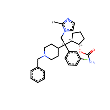 CCc1nccn1C[C@@](c1cccc(F)c1)(C1CCN(Cc2ccccc2)CC1)[C@H]1CCC[C@@H]1OC(N)=O